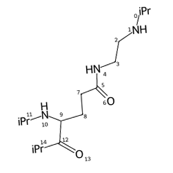 CC(C)NCCNC(=O)CCC(NC(C)C)C(=O)C(C)C